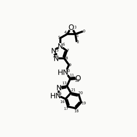 CC1(C)OC1Cn1cc(CNC(=O)c2n[nH]c3ccccc23)nn1